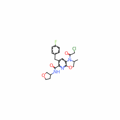 CC1COc2nc(C(=O)NC3CCOC3)c(Cc3ccc(F)cc3)cc2N1C(=O)CCl